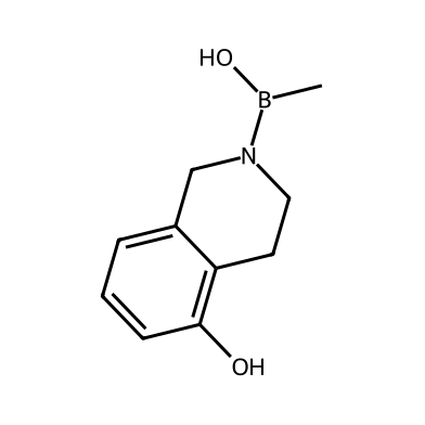 CB(O)N1CCc2c(O)cccc2C1